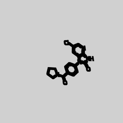 O=C(c1ccc(-n2c(=O)[nH]c3ncc(Cl)cc32)cc1)N1CCCC1